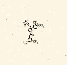 CS(=O)(=O)OCC[C@]1(c2ccc(C(Cl)(Cl)Cl)c(C(F)(F)F)c2)CCN(C(=O)Cc2cc(C(F)(F)F)cc(C(F)(F)F)c2)C1